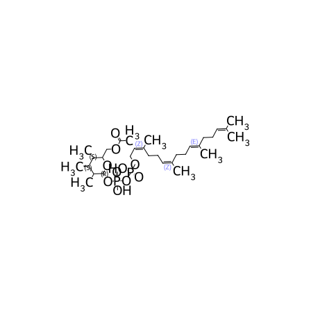 CC(=O)OCC1O[C@H](OP(=O)(O)OP(=O)(O)OC/C=C(/C)CC/C=C(/C)CC/C=C(\C)CCC=C(C)C)C(C)[C@@H](C)[C@@H]1C